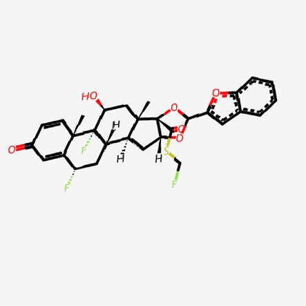 C[C@]12C=CC(=O)C=C1[C@@H](F)C[C@H]1[C@@H]3C[C@H]4OC(c5cc6ccccc6o5)O[C@@]4(C(=O)SCF)[C@@]3(C)C[C@H](O)[C@@]12F